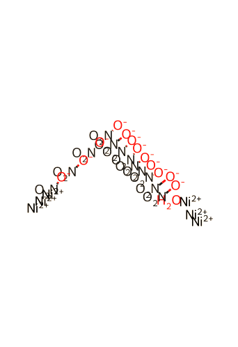 O.O=[N+]([O-])[O-].O=[N+]([O-])[O-].O=[N+]([O-])[O-].O=[N+]([O-])[O-].O=[N+]([O-])[O-].O=[N+]([O-])[O-].O=[N+]([O-])[O-].O=[N+]([O-])[O-].O=[N+]([O-])[O-].O=[N+]([O-])[O-].O=[N+]([O-])[O-].O=[N+]([O-])[O-].[Ni+2].[Ni+2].[Ni+2].[Ni+2].[Ni+2].[Ni+2]